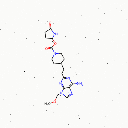 COCn1cnc2c(N)nc(CCC3CCN(C(=O)OC4CCC(=O)N4)CC3)nc21